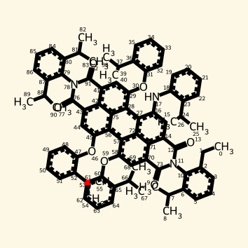 CCc1cccc(C(C)C)c1N1C(=O)c2cc(Nc3ccccc3C(C)C)c3c4c(Oc5ccccc5C(C)C)cc5c6c(cc(Oc7ccccc7C(C)C)c(c7c(Oc8ccccc8C(C)C)cc(c2c37)C1=O)c64)C(=O)N(c1c(C(C)C)cccc1C(C)C)C5=O